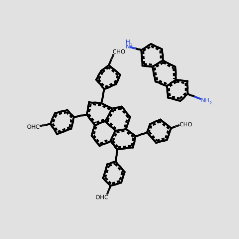 Nc1ccc2cc3cc(N)ccc3cc2c1.O=Cc1ccc(-c2cc(-c3ccc(C=O)cc3)c3ccc4c(-c5ccc(C=O)cc5)cc(-c5ccc(C=O)cc5)c5ccc2c3c54)cc1